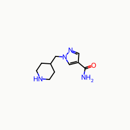 NC(=O)c1cnn(CC2CCNCC2)c1